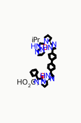 CC(C)[C@@H](Nc1ncccn1)C(=O)N1CCC[C@H]1c1ncc(-c2ccc(-c3ccc(-c4cnc([C@@H]5CCCN5C(=O)[C@@H](c5ccccc5)N(C)C(=O)O)[nH]4)cc3)cc2)[nH]1